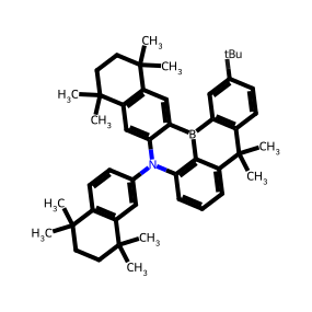 CC(C)(C)c1ccc2c(c1)B1c3cc4c(cc3N(c3ccc5c(c3)C(C)(C)CCC5(C)C)c3cccc(c31)C2(C)C)C(C)(C)CCC4(C)C